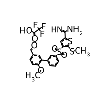 COc1ccc(C=O)cc1-c1cccc(S(=O)(=O)c2cc(C(=N)N)sc2SC)c1.O=C(O)C(F)(F)F